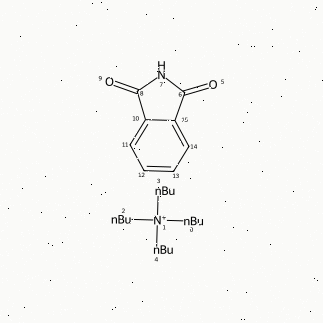 CCCC[N+](CCCC)(CCCC)CCCC.O=C1NC(=O)c2ccccc21